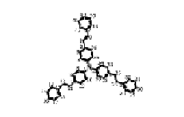 C(=Cc1ccc(N(c2ccc(C=Cc3ccccc3)cc2)c2ccc(C=Cc3ccccc3)cc2)cc1)c1ccccc1